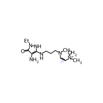 C=[N+](C)/C=C\N(C)CCCNc1[nH]n(CC)c(=O)c1N